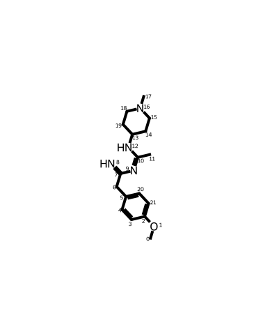 COc1ccc(CC(=N)/N=C(/C)NC2CCN(C)CC2)cc1